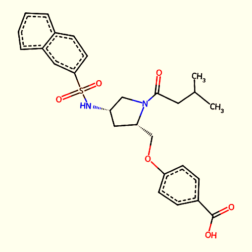 CC(C)CC(=O)N1C[C@@H](NS(=O)(=O)c2ccc3ccccc3c2)C[C@H]1COc1ccc(C(=O)O)cc1